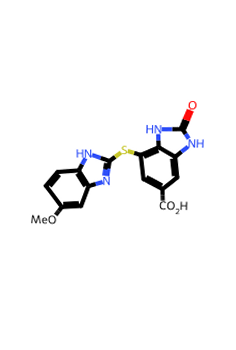 COc1ccc2[nH]c(Sc3cc(C(=O)O)cc4[nH]c(=O)[nH]c34)nc2c1